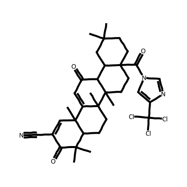 CC1(C)CCC2(C(=O)n3cnc(C(Cl)(Cl)Cl)c3)CCC3(C)C(C(=O)C=C4C5(C)C=C(C#N)C(=O)C(C)(C)C5CCC43C)C2C1